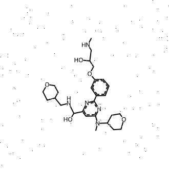 CNCC(O)COc1cccc(-c2nc(C(O)NCC3CCOCC3)cc(N(C)C3CCOCC3)n2)c1